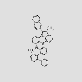 Cc1c(-c2ccc3ccccc3c2)n2c3c(cccc13)B1c3cccc(-c4ccccc4-c4ccccc4)c3N(C)c3cccc-2c31